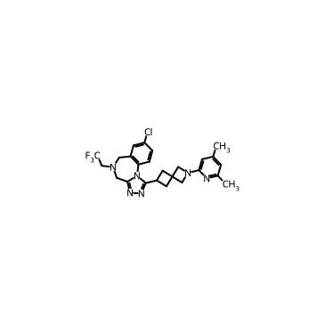 Cc1cc(C)nc(N2CC3(CC(c4nnc5n4-c4ccc(Cl)cc4CN(CC(F)(F)F)C5)C3)C2)c1